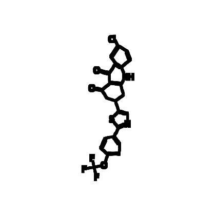 O=C1CC(c2cnc(-c3ccc(OC(F)(F)F)cc3)s2)Cc2[nH]c3ccc(Cl)cc3c(=O)c21